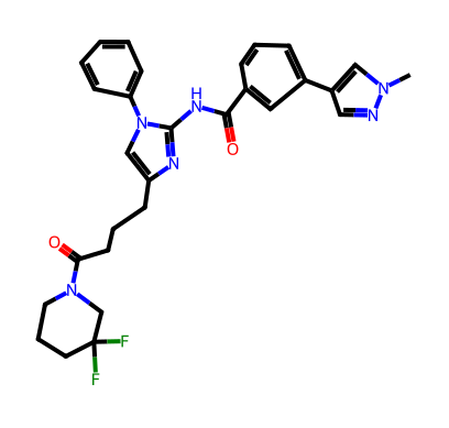 Cn1cc(-c2cccc(C(=O)Nc3nc(CCCC(=O)N4CCCC(F)(F)C4)cn3-c3ccccc3)c2)cn1